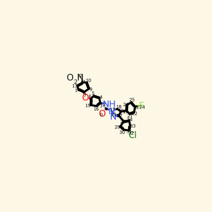 O=C(Nc1ccc(Oc2ccc([N+](=O)[O-])cc2)cc1)N1CC(c2ccc(F)cc2)C(c2ccc(Cl)cc2)=N1